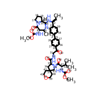 C/C=C(\NC1=NC(C)[C@H](NC(=O)OC)C(=O)N2CCC[C@@H]12)c1ccc(-c2ccc(C(=O)CNC(=O)C3CC4(CCOCC4)CN3C(=O)[C@@H](NC(=O)OC)C(C)C)cc2)cc1